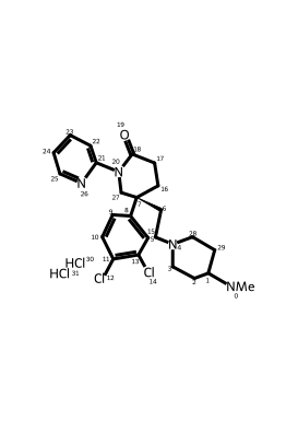 CNC1CCN(CC[C@]2(c3ccc(Cl)c(Cl)c3)CCC(=O)N(c3ccccn3)C2)CC1.Cl.Cl